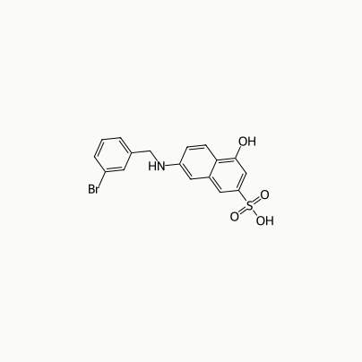 O=S(=O)(O)c1cc(O)c2ccc(NCc3cccc(Br)c3)cc2c1